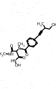 CNC(=O)C(C(=O)NO)N(C)C(=O)c1ccc(C#CC(C)CO)cc1